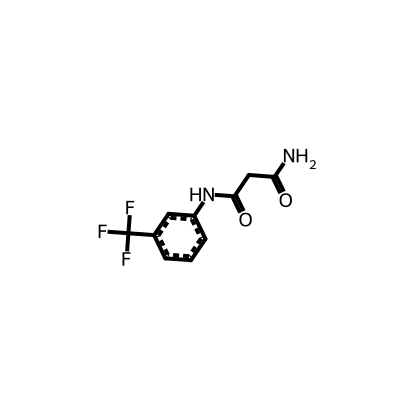 NC(=O)CC(=O)Nc1cccc(C(F)(F)F)c1